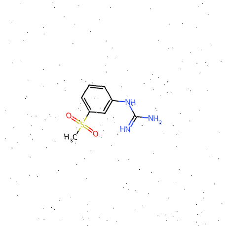 CS(=O)(=O)c1cccc(NC(=N)N)c1